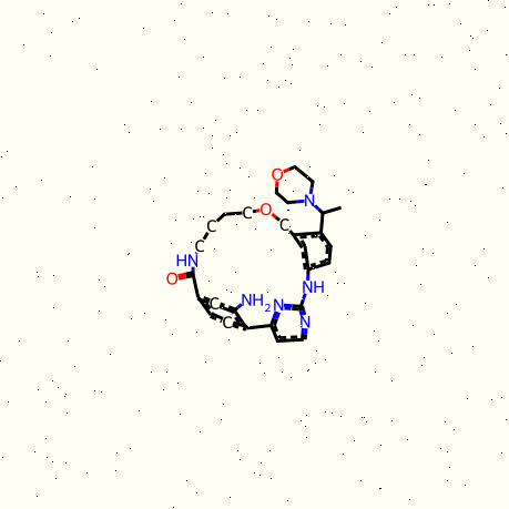 CC(c1ccc2cc1COCCCCNC(=O)c1ccc(c(N)c1)-c1ccnc(n1)N2)N1CCOCC1